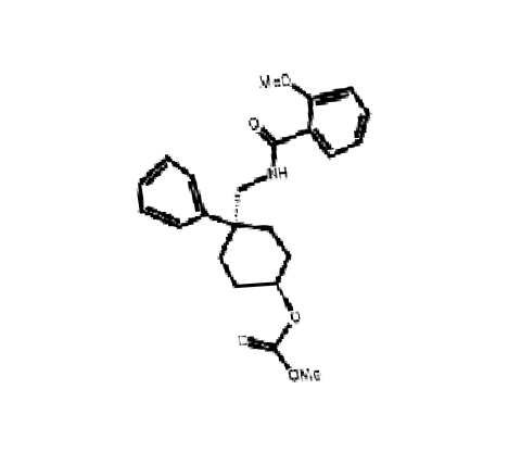 COC(=O)O[C@H]1CC[C@@](CNC(=O)c2ccccc2OC)(c2ccccc2)CC1